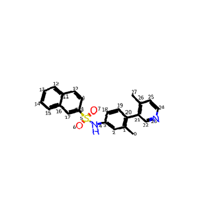 Cc1cc(NS(=O)(=O)c2ccc3ccccc3c2)ccc1-c1cnccc1C